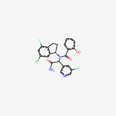 NC(=O)C(c1cncc(F)c1)N(C(=O)c1ccccc1O)[C@@H]1CCc2c(F)cc(Cl)cc21